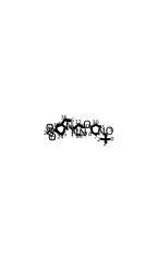 CC(C)(C)C(=O)N1CCC(Oc2cc(N3C=CC4=CC(S(C)(=O)=O)=CCC43)ncn2)CC1